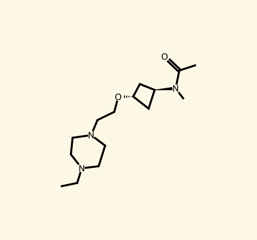 CCN1CCN(CCO[C@H]2C[C@H](N(C)C(C)=O)C2)CC1